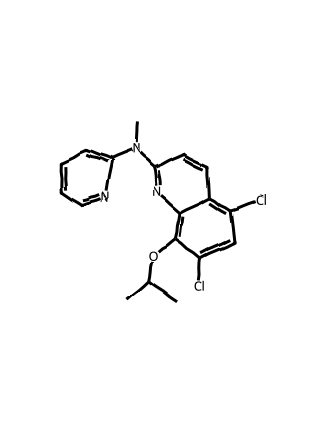 CC(C)Oc1c(Cl)cc(Cl)c2ccc(N(C)c3ccccn3)nc12